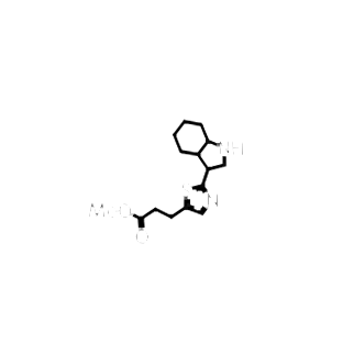 COC(=O)CCc1cnc(C2CNC3CCCCC32)s1